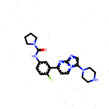 O=C(Nc1ccc(F)c(-c2ccn3c(N4CCNCC4)cnc3n2)c1)N1CCCC1